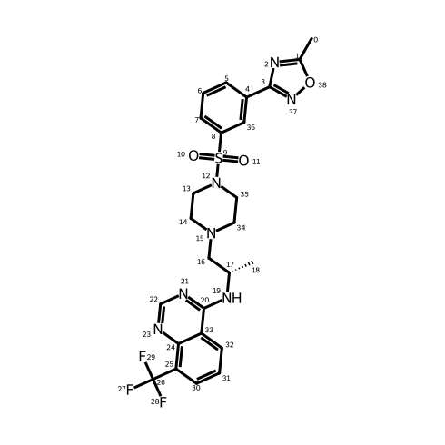 Cc1nc(-c2cccc(S(=O)(=O)N3CCN(C[C@H](C)Nc4ncnc5c(C(F)(F)F)cccc45)CC3)c2)no1